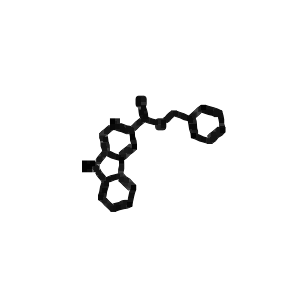 O=C(OCc1ccccc1)c1cc2c(cn1)[nH]c1ccccc12